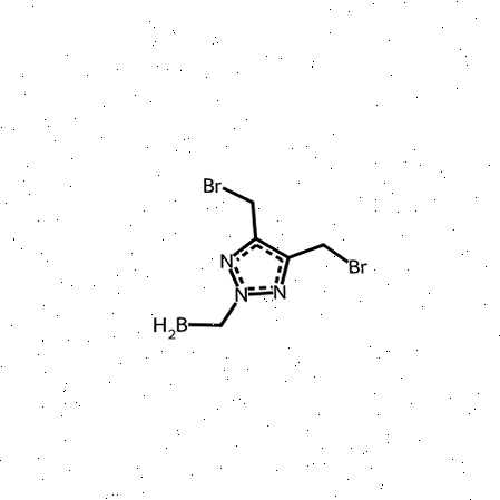 BCn1nc(CBr)c(CBr)n1